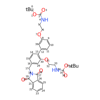 CC(C)(C)OC(=O)NCCOc1cccc(-c2ccc(CN3C(=O)c4ccccc4C3=O)cc2OCCNC(=O)OC(C)(C)C)c1